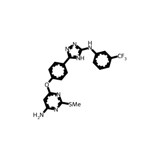 CSc1nc(N)cc(Oc2ccc(-c3nnc(Nc4cccc(C(F)(F)F)c4)[nH]3)cc2)n1